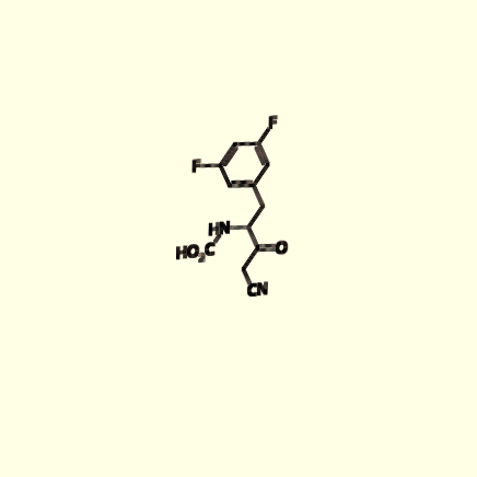 N#CCC(=O)C(Cc1cc(F)cc(F)c1)NC(=O)O